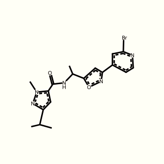 CC(C)c1cc(C(=O)NC(C)c2cc(-c3ccnc(Br)c3)no2)n(C)n1